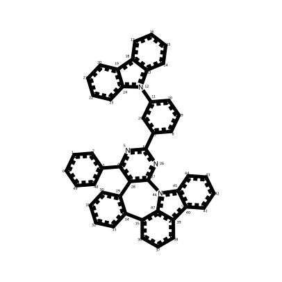 c1ccc(-c2nc(-c3cccc(-n4c5ccccc5c5ccccc54)c3)nc3c2-c2ccccc2-c2cccc4c5ccccc5n-3c24)cc1